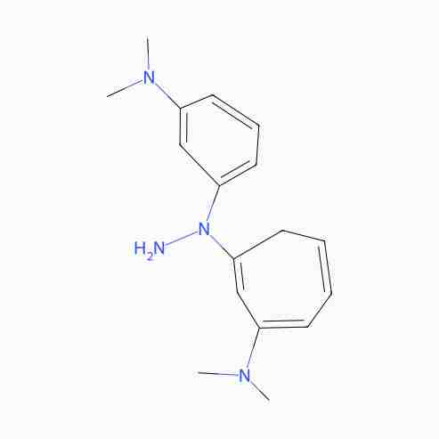 CN(C)C1=CC=CCC(N(N)c2cccc(N(C)C)c2)=C1